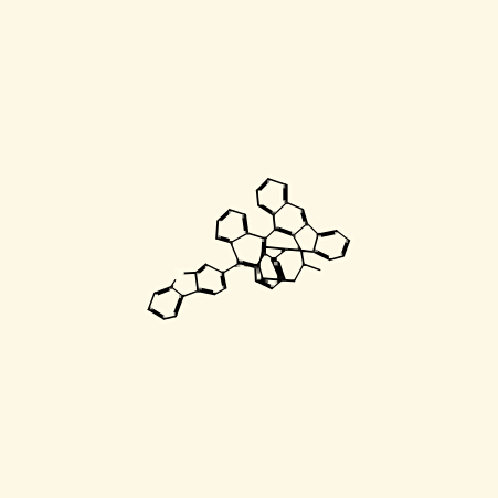 CCC1CC2CC(C)C3(c4ccccc4-c4cc5ccccc5c(-c5c6ccccc6c(-c6ccc7c(c6)sc6ccccc67)c6ccccc56)c43)C(C1)C2